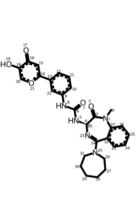 CN1C(=O)[C@H](NC(=O)Nc2cccc(-c3cc(=O)c(O)co3)c2)N=C(N2CCCCCC2)c2ccccc21